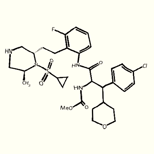 COC(=O)NC(C(=O)Nc1cccc(F)c1CC[C@H]1CNC[C@H](C)N1S(=O)(=O)C1CC1)C(c1ccc(Cl)cc1)C1CCOCC1